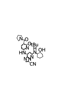 CC(C)(C)Oc1nc(Nc2cc(N[C@@H]3CCCC[C@H]3O)nn3c(C#N)cnc23)ccc1C(=O)N1CCCC1